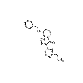 CSc1nccc(C(=NO)C(=O)c2cccc(OCc3ccncc3)c2)n1